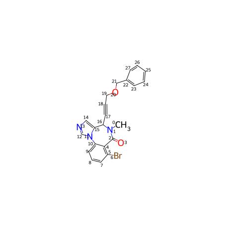 CN1C(=O)c2c(Br)cccc2-n2cncc2C1C#CCOCc1ccccc1